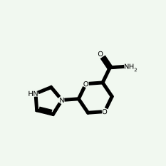 NC(=O)C1COCC(N2C=CNC2)O1